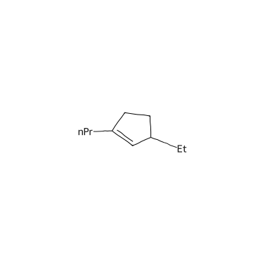 CCCC1=CC(CC)CC1